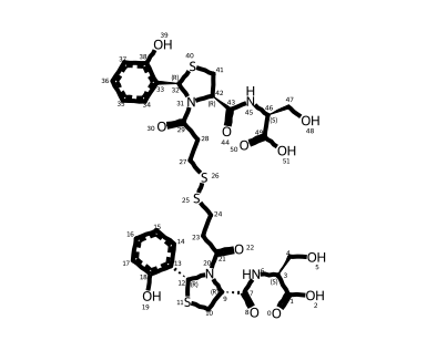 O=C(O)[C@H](CO)NC(=O)[C@@H]1CS[C@H](c2ccccc2O)N1C(=O)CCSSCCC(=O)N1[C@@H](c2ccccc2O)SC[C@H]1C(=O)N[C@@H](CO)C(=O)O